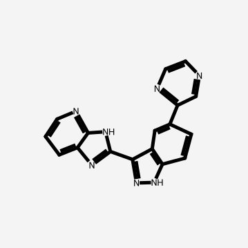 c1cnc2[nH]c(-c3n[nH]c4ccc(-c5cnccn5)cc34)nc2c1